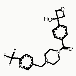 O=C(c1ccc(C2(O)COC2)cc1)N1CCN(Cc2ccc(C(F)(F)F)nc2)CC1